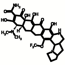 CN(C)[C@@H]1C(O)=C(C(N)=O)C(=O)[C@@]2(O)C(O)=C3C(=O)c4c(O)c5c(c(OC(F)(F)F)c4CC3C[C@@H]12)C1C(CN5)CC2CCCN21